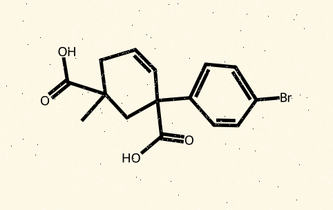 CC1(C(=O)O)CC=CC(C(=O)O)(c2ccc(Br)cc2)C1